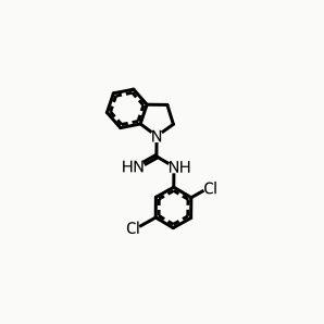 N=C(Nc1cc(Cl)ccc1Cl)N1CCc2ccccc21